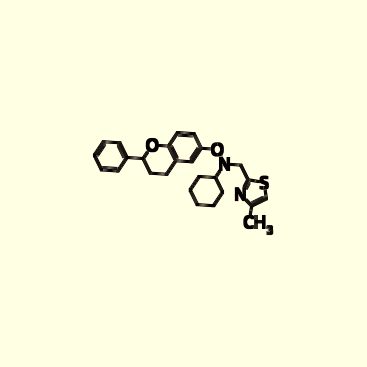 Cc1csc(CN(Oc2ccc3c(c2)CCC(c2ccccc2)O3)C2CCCCC2)n1